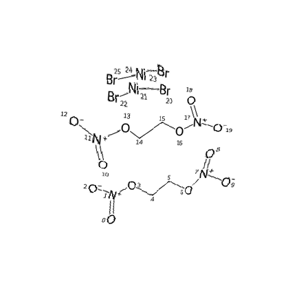 O=[N+]([O-])OCCO[N+](=O)[O-].O=[N+]([O-])OCCO[N+](=O)[O-].[Br][Ni][Br].[Br][Ni][Br]